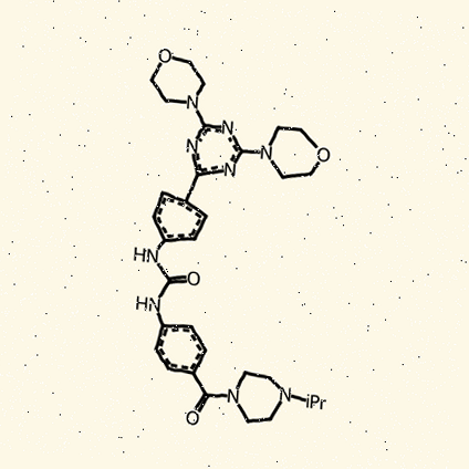 CC(C)N1CCN(C(=O)c2ccc(NC(=O)Nc3ccc(-c4nc(N5CCOCC5)nc(N5CCOCC5)n4)cc3)cc2)CC1